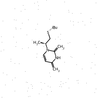 C=C1C=CN([C@@H](C)CS[C@@H](C)CC)C(=C)N1